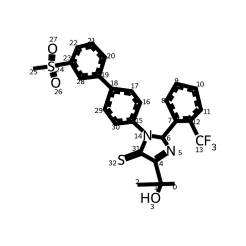 CC(C)(O)C1=NC(c2ccccc2C(F)(F)F)N(c2ccc(-c3cccc(S(C)(=O)=O)c3)cc2)C1=S